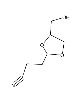 N#CCCC1OCC(CO)O1